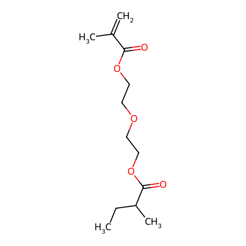 C=C(C)C(=O)OCCOCCOC(=O)C(C)CC